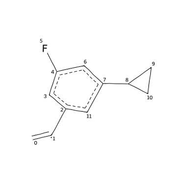 C=[C]c1cc(F)cc(C2CC2)c1